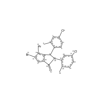 Cc1cc(Cl)ccc1C1c2c(cc(Br)n2C(C)C)C(=O)N1c1cc(Cl)ccc1C